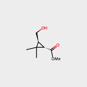 COC(=O)[C@H]1[C@H](CO)C1(C)C